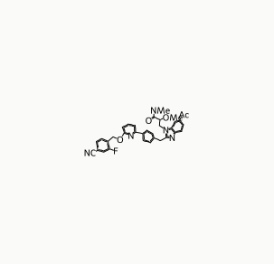 CNC(=O)[C@H](Cn1c(Cc2ccc(-c3cccc(OCc4ccc(C#N)cc4F)n3)cc2)nc2ccc(C(C)=O)cc21)OC